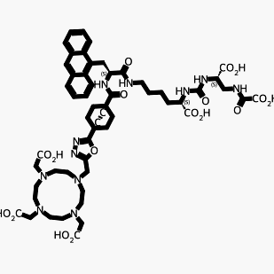 O=C(O)CN1CCN(CC(=O)O)CCN(Cc2nnc(C34CCC(C(=O)N[C@@H](Cc5c6ccccc6cc6ccccc56)C(=O)NCCCC[C@H](NC(=O)N[C@@H](CNC(=O)C(=O)O)C(=O)O)C(=O)O)(CC3)CC4)o2)CCN(CC(=O)O)CC1